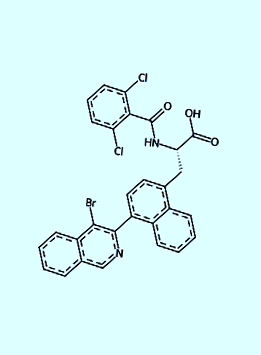 O=C(N[C@@H](Cc1ccc(-c2ncc3ccccc3c2Br)c2ccccc12)C(=O)O)c1c(Cl)cccc1Cl